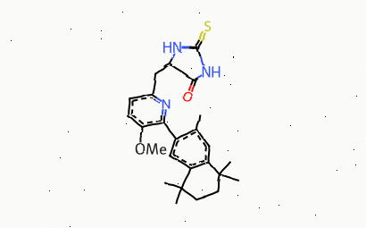 COc1ccc(CC2NC(=S)NC2=O)nc1-c1cc2c(cc1C)C(C)(C)CCC2(C)C